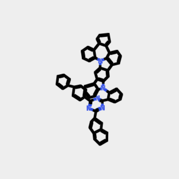 c1ccc(-c2ccc(-c3nc(-c4ccc5ccccc5c4)nc(-c4ccccc4-n4c5ccccc5c5cc6c(cc54)c4cccc5c4n6-c4ccccc4-c4ccccc4-5)n3)cc2)cc1